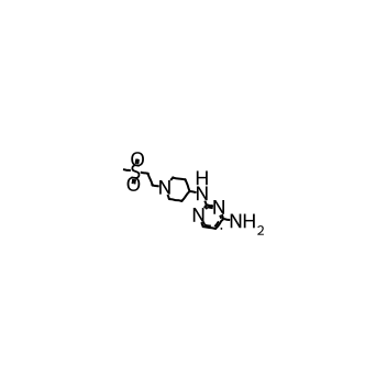 CS(=O)(=O)CCN1CCC(Nc2nc[c]c(N)n2)CC1